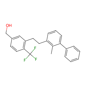 Cc1c(CCc2cc(CO)ccc2C(F)(F)F)cccc1-c1ccccc1